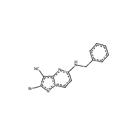 N#Cc1c(Br)nn2ccc(NCc3ccccc3)nc12